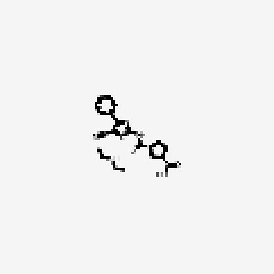 CCNCC.N#Cc1sc(NC(=O)[C@H]2CC[C@@H](C(=O)O)C2)nc1-c1ccccc1